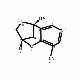 N#Cc1cncc2c1O[C@@H]1CN[C@H]2C1